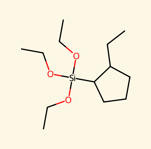 CCO[Si](OCC)(OCC)C1CCCC1CC